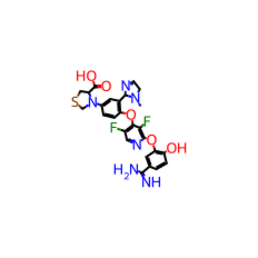 CN1CC=NC1c1cc(N2CSCC2C(=O)O)ccc1Oc1c(F)cnc(Oc2cc(C(=N)N)ccc2O)c1F